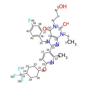 CCn1c(=O)n(CCCO)c(=O)c2c1nc(-c1ccc(OC3CCC(C(F)(F)F)CC3)nc1C)n2Cc1ccc(F)cc1